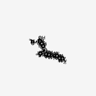 C=C1CO[C@@H](CC[C@]23C[C@@H](O)C(O2)[C@H]2CC(O3)[C@H]3O[C@@H](CC(=O)O[C@@H]4[C@@H](C)[C@@H]5O[C@@H]6C[C@]7(C[C@@H]8O[C@]9(C[C@H](C)[C@@H]%10O[C@H](CC)CC[C@@H]%10O9)C[C@H](C)[C@@H]8O7)O[C@@H]6C[C@@H]5O[C@H]4C[C@H]4OCC[C@@H](C)C4=C)CC[C@@H]3O2)C1